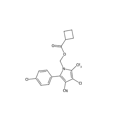 N#Cc1c(Cl)c(C(F)(F)F)n(COC(=O)C2CCC2)c1-c1ccc(Cl)cc1